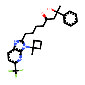 CC(O)(CC(=O)CCCCc1nc2ccc(C(F)(F)F)nc2n1C1(C)CCC1)c1ccccc1